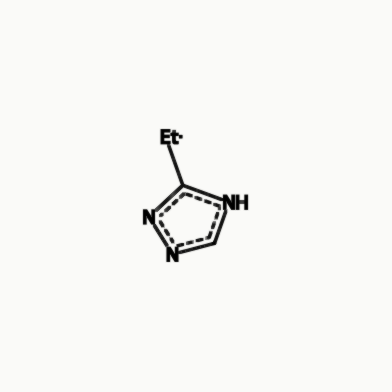 C[CH]c1nnc[nH]1